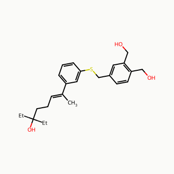 CCC(O)(CC)CC/C=C(\C)c1cccc(SCc2ccc(CO)c(CO)c2)c1